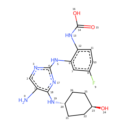 Nc1cnc(Nc2cc(F)ccc2NC(=O)O)nc1N[C@H]1CC[C@H](O)CC1